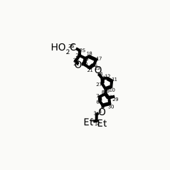 CCC(CC)COc1ccc(-c2cccc(COc3ccc4c(c3)OCC4CC(=O)O)c2)c(C)c1